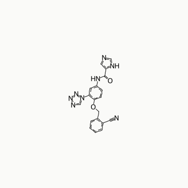 N#Cc1ccccc1COc1ccc(NC(=O)c2cnc[nH]2)cc1-n1cnnn1